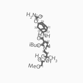 COCC(=O)NC(C)(C)/C=C/n1ncc(C(=O)N[C@H]2C3CC4CC2C[C@](OC(N)=O)(C4)C3)c1OCC(C)C